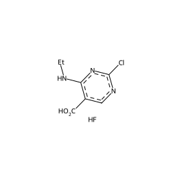 CCNc1nc(Cl)ncc1C(=O)O.F